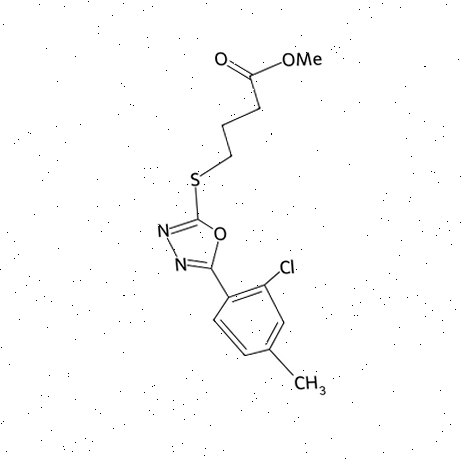 COC(=O)CCCSc1nnc(-c2ccc(C)cc2Cl)o1